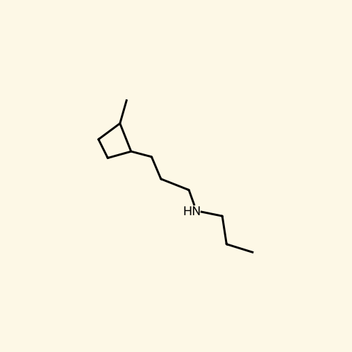 CCCNCCCC1CCC1C